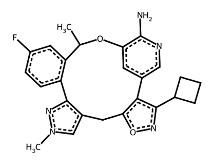 CC1Oc2cc(cnc2N)-c2c(C3CCC3)noc2Cc2cn(C)nc2-c2ccc(F)cc21